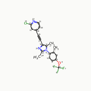 Cc1cc(OC(F)(F)F)ccc1-n1c(C)nc(C#Cc2ccnc(Cl)c2)c1C